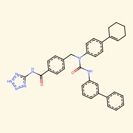 O=C(Nc1nn[nH]n1)c1ccc(CN(C(=O)Nc2cccc(-c3ccccc3)c2)c2ccc(C3=CCCCC3)cc2)cc1